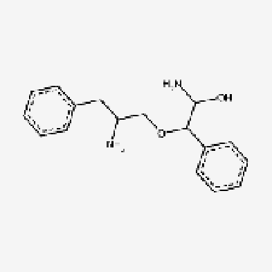 NC(COC(c1ccccc1)C(N)O)Cc1ccccc1